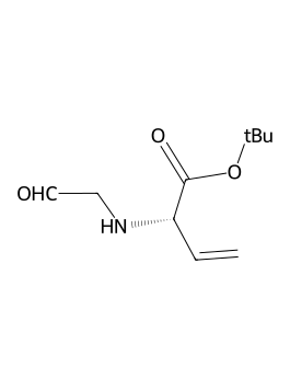 C=C[C@H](NCC=O)C(=O)OC(C)(C)C